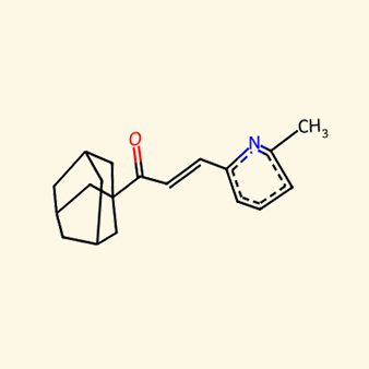 Cc1cccc(C=CC(=O)C23CC4CC(CC(C4)C2)C3)n1